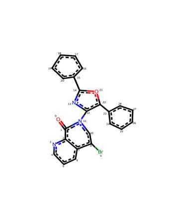 O=c1c2ncccc2c(Br)cn1-c1nc(-c2ccccc2)oc1-c1ccccc1